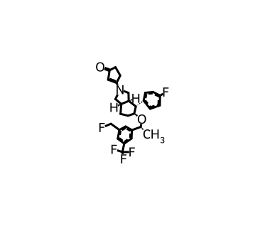 C[C@@H](O[C@H]1CC[C@@H]2CN(C3=CC(=O)CC3)C[C@H]2[C@@H]1c1ccc(F)cc1)c1cc(CF)cc(C(F)(F)F)c1